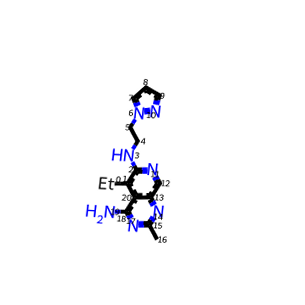 CCc1c(NCCn2cccn2)ncc2nc(C)nc(N)c12